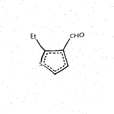 CCc1sccc1C=O